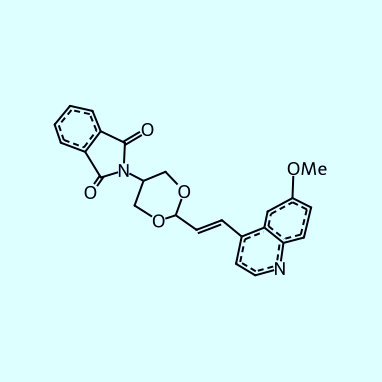 COc1ccc2nccc(/C=C/C3OCC(N4C(=O)c5ccccc5C4=O)CO3)c2c1